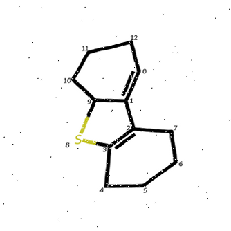 C1=C2C3=C(CCCC3)SC2CCC1